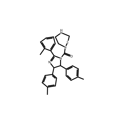 Cc1ccc(C2N=C(c3ccccc3C)N(C(=O)N3CCNCC3)C2c2ccc(C)cc2)cc1